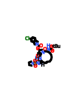 CC(C)(C)OC(=O)N[C@H]1CCCCC/C=C/[C@@H]2C[C@@]2(C(=O)NS(=O)(=O)N2CCCC2)NC(=O)[C@@H]2C[C@@H](OC(=O)N3Cc4ccc(Cl)cc4C3)CN2C1=O